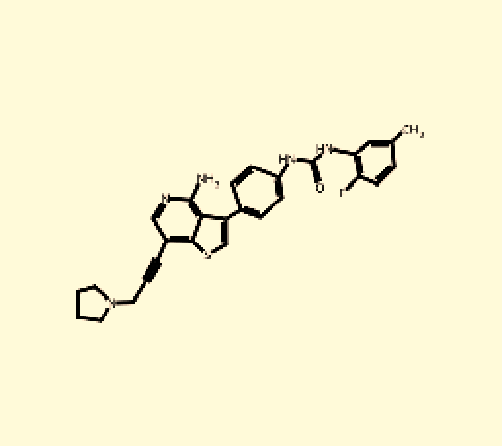 Cc1ccc(F)c(NC(=O)Nc2ccc(-c3csc4c(C#CCN5CCCC5)cnc(N)c34)cc2)c1